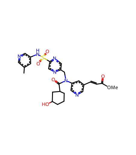 COC(=O)/C=C/c1cncc(N(Cc2cnc(S(=O)(=O)Nc3cncc(C)c3)cn2)C(=O)C2CCCC(O)C2)c1